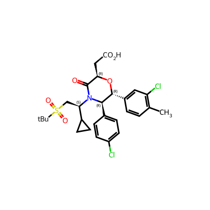 Cc1ccc([C@H]2O[C@H](CC(=O)O)C(=O)N([C@H](CS(=O)(=O)C(C)(C)C)C3CC3)[C@@H]2c2ccc(Cl)cc2)cc1Cl